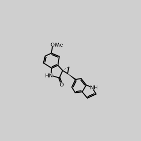 COc1ccc2c(c1)[C@]1(C[C@H]1c1ccc3cc[nH]c3c1)C(=O)N2